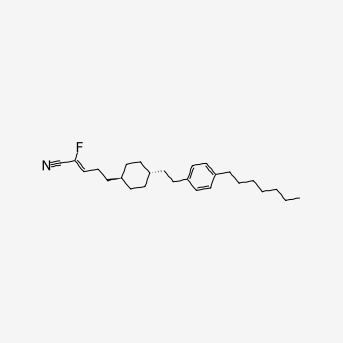 CCCCCCCc1ccc(CC[C@H]2CC[C@H](CC/C=C(\F)C#N)CC2)cc1